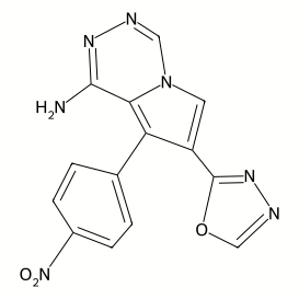 Nc1nncn2cc(-c3nnco3)c(-c3ccc([N+](=O)[O-])cc3)c12